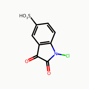 O=C1C(=O)N(Cl)c2ccc(S(=O)(=O)O)cc21